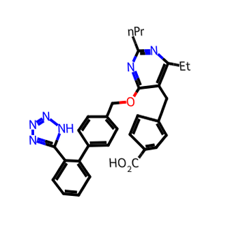 CCCc1nc(CC)c(Cc2ccc(C(=O)O)cc2)c(OCc2ccc(-c3ccccc3-c3nnn[nH]3)cc2)n1